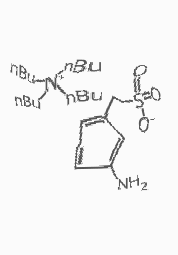 CCCC[N+](CCCC)(CCCC)CCCC.Nc1cccc(CS(=O)(=O)[O-])c1